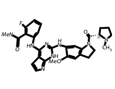 CNC(=O)c1c(F)cccc1Nc1nc(Nc2cc3c(cc2OC)CCN3C(=O)[C@@H]2CCCN2C)[nH]c2nccc1-2